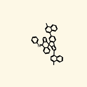 Cc1ccc(-c2ccc3c(c2)C2(c4ccccc4C(=Nc4ccccc4)c4ccccc42)c2cc(-c4ccc(C)c5ccccc45)ccc2-3)c2ccccc12